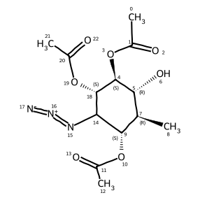 CC(=O)O[C@H]1[C@H](O)[C@@H](C)[C@H](OC(C)=O)C(N=[N+]=[N-])[C@@H]1OC(C)=O